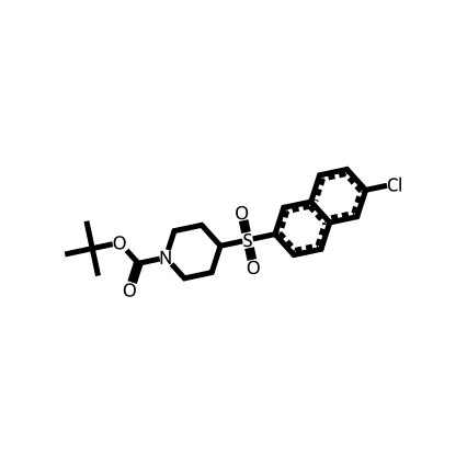 CC(C)(C)OC(=O)N1CCC(S(=O)(=O)c2ccc3cc(Cl)ccc3c2)CC1